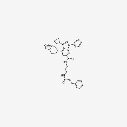 COCC1CCN(c2cc(C(=O)NSCCNC(=O)OCc3ccccc3)nc3c2c(C2CCC2)nn3-c2ccccc2)CC1